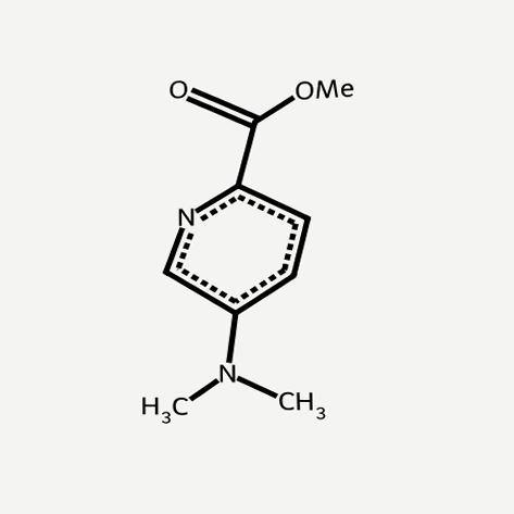 COC(=O)c1ccc(N(C)C)cn1